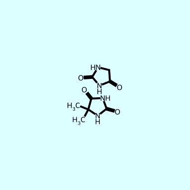 CC1(C)NC(=O)NC1=O.O=C1CNC(=O)N1